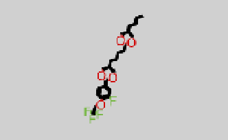 CCCCC1COC(CCCCC2COC(c3ccc(OCC(F)(F)F)c(F)c3)OC2)OC1